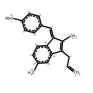 C=CCC1=C(C)/C(=C/c2ccc(SC)cc2)c2ccc(C)cc21